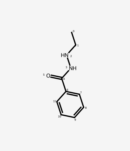 C[CH]NNC(=O)c1ccccc1